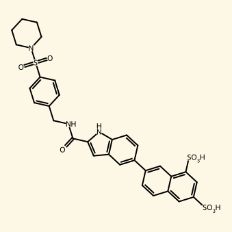 O=C(NCc1ccc(S(=O)(=O)N2CCCCC2)cc1)c1cc2cc(-c3ccc4cc(S(=O)(=O)O)cc(S(=O)(=O)O)c4c3)ccc2[nH]1